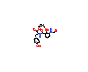 CCOC(=O)C(Cc1ccc(O)cc1)NC(=O)c1cccc(NC=O)c1O